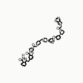 O=C(CN1CCC(CN2CCN(c3cnnc(Oc4cccc([C@@H]5CCCN(C(=O)CN6Cc7cncnc7C6)C5)c4)c3)CC2)CC1)N1CCN(C(=O)c2cc(Cc3n[nH]c(=O)c4ccccc34)ccc2F)CC1